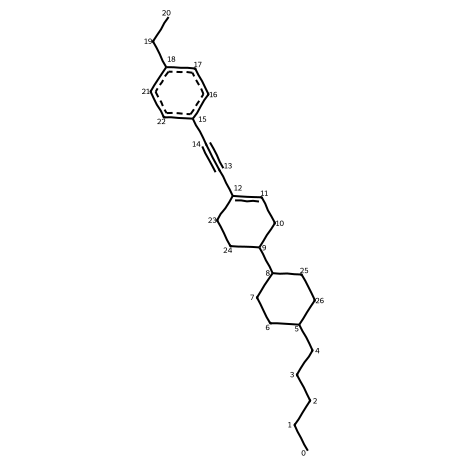 CCCCCC1CCC(C2CC=C(C#Cc3ccc(CC)cc3)CC2)CC1